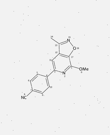 COc1nc(-c2ccc(C#N)cc2)cc2c(C)noc12